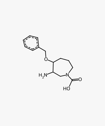 NC1CN(C(=O)O)CCCC1OCc1ccccc1